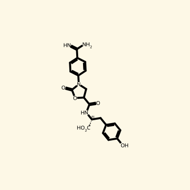 N=C(N)c1ccc(N2CC(C(=O)N[C@H](Cc3ccc(O)cc3)C(=O)O)OC2=O)cc1